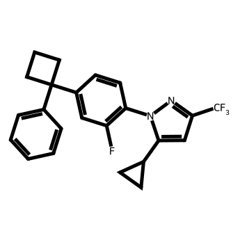 Fc1cc(C2(c3ccccc3)CCC2)ccc1-n1nc(C(F)(F)F)cc1C1CC1